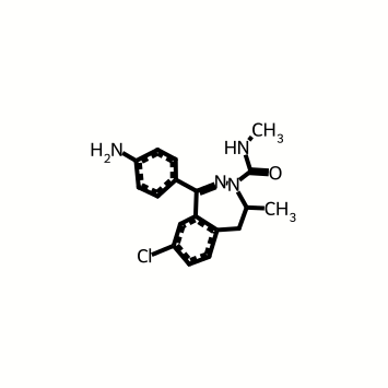 CNC(=O)N1N=C(c2ccc(N)cc2)c2cc(Cl)ccc2CC1C